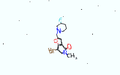 Cn1cc(Br)c2oc(CN3CCCC(F)C3)cc2c1=O